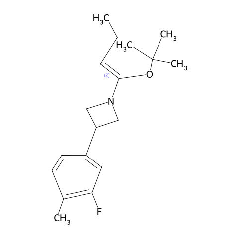 CC/C=C(\OC(C)(C)C)N1CC(c2ccc(C)c(F)c2)C1